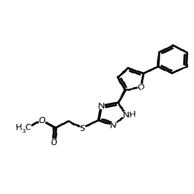 COC(=O)CSc1n[nH]c(-c2ccc(-c3ccccc3)o2)n1